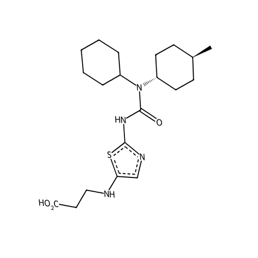 C[C@H]1CC[C@H](N(C(=O)Nc2ncc(NCCC(=O)O)s2)C2CCCCC2)CC1